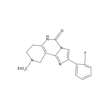 CCOC(=O)N1CCc2[nH]c(=O)n3cc(-c4ccccc4F)nc3c2C1